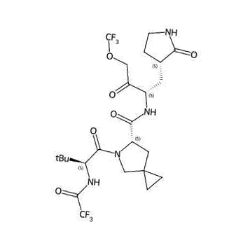 CC(C)(C)[C@H](NC(=O)C(F)(F)F)C(=O)N1CC2(CC2)C[C@H]1C(=O)N[C@@H](C[C@@H]1CCNC1=O)C(=O)COC(F)(F)F